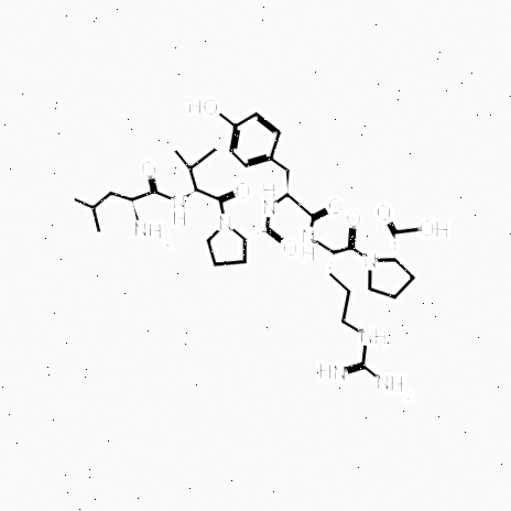 CC(C)C[C@H](N)C(=O)N[C@H](C(=O)N1CCC[C@H]1C(=O)N[C@@H](Cc1ccc(O)cc1)C(=O)N[C@@H](CCCNC(=N)N)C(=O)N1CCC[C@H]1C(=O)O)C(C)C